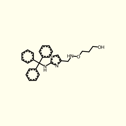 OCCCONCc1csc(NC(c2ccccc2)(c2ccccc2)c2ccccc2)n1